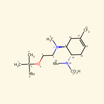 CN(CCO[Si](C)(C)C(C)(C)C)[C@H]1CC(C(F)(F)F)=CC[C@@H]1N(C(=O)O)C(C)(C)C